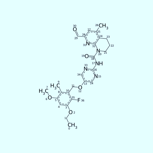 CCOc1cc(OC)c(C)c(COc2cnc(NC(=O)N3CCCc4c(C)cc(C=O)nc43)nc2)c1F